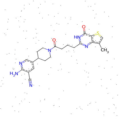 Cc1csc2c(=O)[nH]c(CCCC(=O)N3CCC(c4cnc(N)c(C#N)c4)CC3)nc12